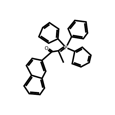 CC(C(=O)c1ccc2ccccc2c1)=P(c1ccccc1)(c1ccccc1)c1ccccc1